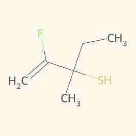 C=C(F)C(C)(S)CC